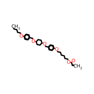 C=CC(=O)OCCCCCCOc1ccc(COC2CCC(OCc3ccc(OCCCCC)cc3)CC2)cc1